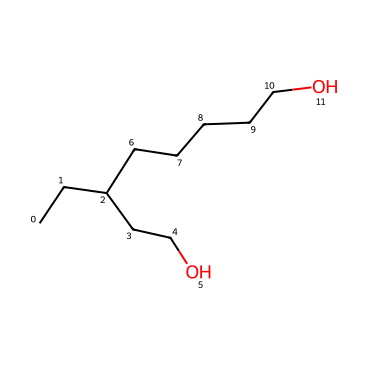 CCC(CCO)CCCCCO